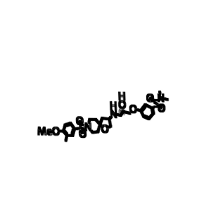 COc1ccc(S(=O)(=O)N2CCC3(CC2)CC(NC[C@H](O)COc2cccc(S(=O)(=O)N(C)C)c2)CO3)cc1C